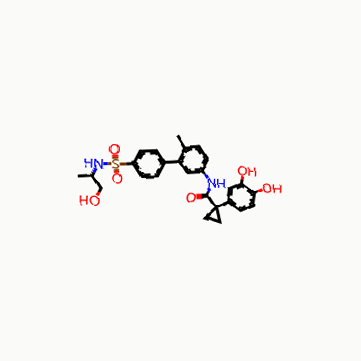 Cc1ccc(NC(=O)C2(c3ccc(O)c(O)c3)CC2)cc1-c1ccc(S(=O)(=O)NC(C)CO)cc1